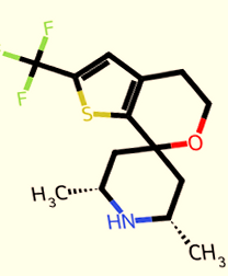 C[C@@H]1CC2(C[C@H](C)N1)OCCc1cc(C(F)(F)F)sc12